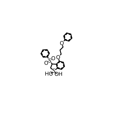 O=S(=O)(c1ccccc1)C1CS(O)(O)c2cccc(OCCCOc3ccccc3)c21